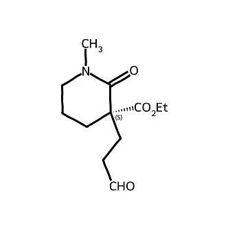 CCOC(=O)[C@]1(CCC=O)CCCN(C)C1=O